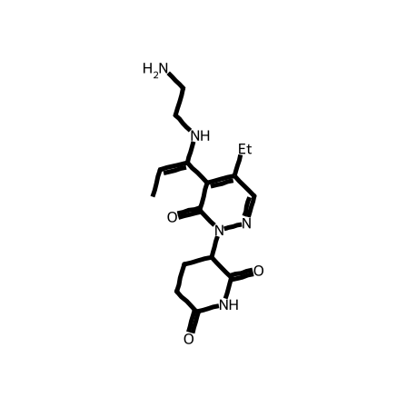 C/C=C(/NCCN)c1c(CC)cnn(C2CCC(=O)NC2=O)c1=O